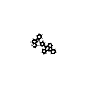 c1ccc2c(c1)-c1cccc3c(-c4ccc(-n5c6ccccc6c6ccc7ncccc7c65)cc4)c4ccccc4c-2c13